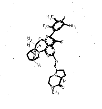 Cc1c(F)c(N)cc(-c2nc3c4c(nc(OC[C@H]5CC[C@H]6C(=O)N(C)CCN56)nc4c2F)N2C[C@H]4CC[C@H](N4)[C@H]2[C@H](C)O3)c1C(F)(F)F